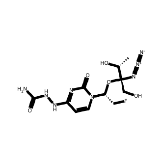 C[C@@H](O)[C@](CO)(N=[N+]=[N-])O[C@H](CF)n1ccc(NNC(N)=O)nc1=O